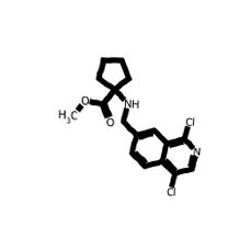 COC(=O)C1(NCc2ccc3c(Cl)cnc(Cl)c3c2)CCCC1